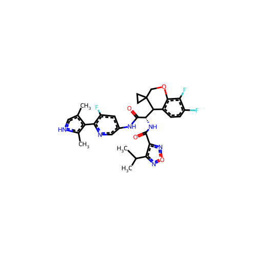 Cc1c[nH]c(C)c1-c1ncc(NC(=O)[C@@H](NC(=O)c2nonc2C(C)C)C2c3ccc(F)c(F)c3OCC23CC3)cc1F